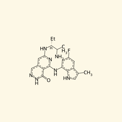 CC[C@@H](Nc1cc2cn[nH]c(=O)c2c(Nc2cc(F)cc3c(C)c[nH]c23)n1)C(C)N